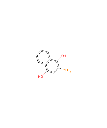 Oc1cc(P)c(O)c2ccccc12